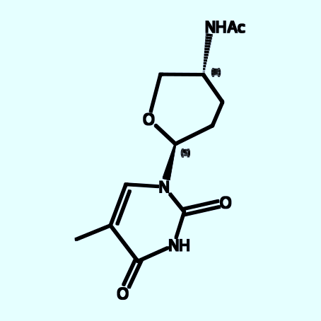 CC(=O)N[C@@H]1CC[C@@H](n2cc(C)c(=O)[nH]c2=O)OC1